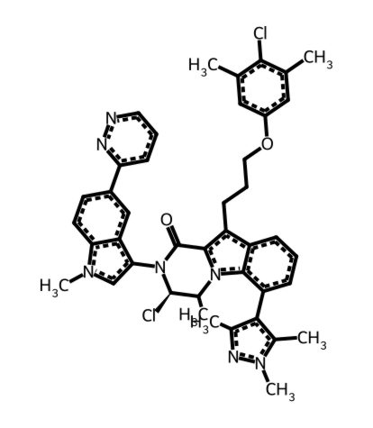 Cc1cc(OCCCc2c3n(c4c(-c5c(C)nn(C)c5C)cccc24)C(C)[C@@H](Cl)N(c2cn(C)c4ccc(-c5cccnn5)cc24)C3=O)cc(C)c1Cl